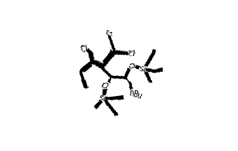 C/C=C(Cl)\C(=C(\Cl)CC)[C@H](O[Si](C)(C)C)[C@H](CCCC)O[Si](C)(C)C